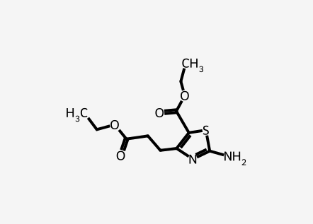 CCOC(=O)CCc1nc(N)sc1C(=O)OCC